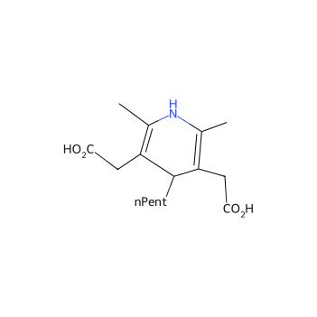 CCCCCC1C(CC(=O)O)=C(C)NC(C)=C1CC(=O)O